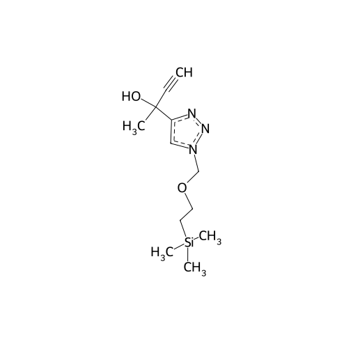 C#CC(C)(O)c1cn(COCC[Si](C)(C)C)nn1